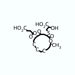 C[C@@H]1CCCCCCCCC[C@H](OC(=O)CCC(=O)O)C(=O)C[C@@H](SC[C@@H](O)C(=O)O)C(=O)O1